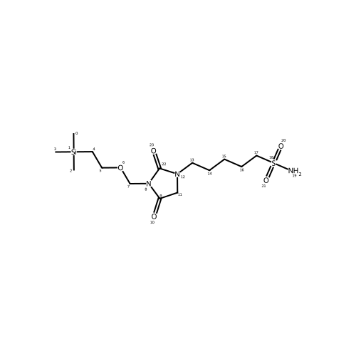 C[Si](C)(C)CCOCN1C(=O)CN(CCCCCS(N)(=O)=O)C1=O